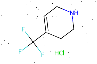 Cl.FC(F)(F)C1=CCNCC1